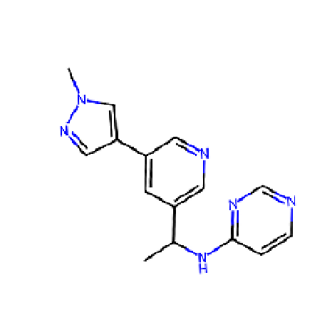 CC(Nc1ccncn1)c1cncc(-c2cnn(C)c2)c1